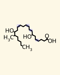 CCCCCC(C)C(O)C/C=C\C/C=C\C=C\C(O)C/C=C\CCC(=O)O